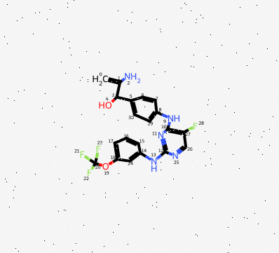 C=C(N)C(O)c1ccc(Nc2nc(Nc3cccc(OC(F)(F)F)c3)ncc2F)cc1